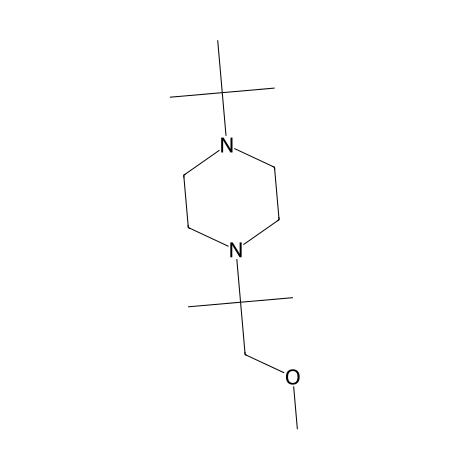 COCC(C)(C)N1CCN(C(C)(C)C)CC1